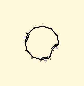 [CH]1/C=C\CCCC/C=C/C=C\C1